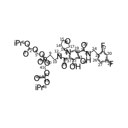 CC(C)OC(=O)OCOP(=O)(CCN1C[C@@]2(CCOC2)n2cc(C(=O)NCc3ccc(F)cc3F)c(=O)c(O)c2C1=O)OCOC(=O)OC(C)C